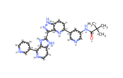 CC(C)(C)C(=O)Nc1cncc(-c2ccc3[nH]nc(-c4nc5c(-c6cccnc6)nccc5[nH]4)c3n2)c1